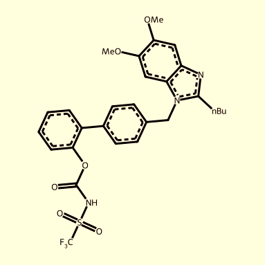 CCCCc1nc2cc(OC)c(OC)cc2n1Cc1ccc(-c2ccccc2OC(=O)NS(=O)(=O)C(F)(F)F)cc1